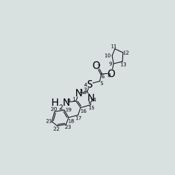 Nc1nc(SCC(=O)OC2CCCC2)ncc1Cc1ccccc1